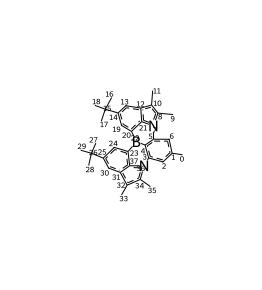 Cc1cc2c3c(c1)-n1c(C)c(C)c4cc(C(C)(C)C)cc(c41)B3c1cc(C(C)(C)C)cc3c(C)c(C)n-2c13